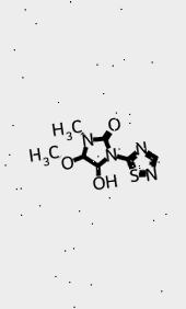 COC1C(O)N(c2ncns2)C(=O)N1C